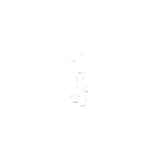 C#Cc1c(F)ccc2cc(O)cc(-c3ncc4c(SC5CC5)nc(OC[C@@]56CCCN5C[C@H](F)C6)nc4c3F)c12